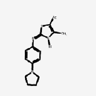 CCn1c(C)c(C(C)=O)sc1=Nc1ccc(N2CCCC2)cc1